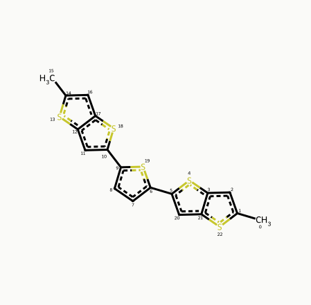 Cc1cc2sc(-c3ccc(-c4cc5sc(C)cc5s4)s3)cc2s1